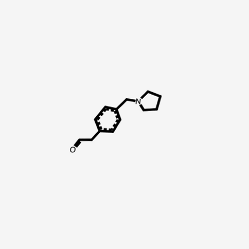 O=CCc1ccc(CN2CCCC2)cc1